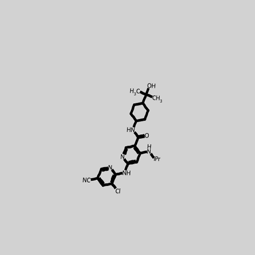 CC(C)Nc1cc(Nc2ncc(C#N)cc2Cl)ncc1C(=O)NC1CCC(C(C)(C)O)CC1